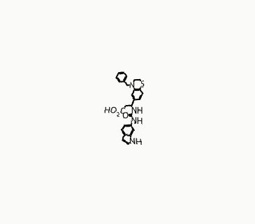 O=C(O)CC(NC(=O)Nc1ccc2cc[nH]c2c1)c1ccc2c(c1)N(Cc1ccccc1)CCS2